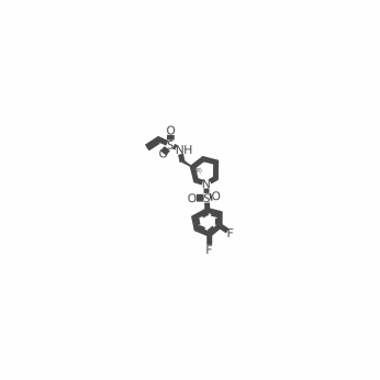 C=CS(=O)(=O)NC[C@H]1CCCN(S(=O)(=O)c2ccc(F)c(F)c2)C1